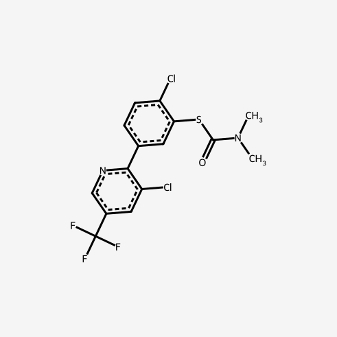 CN(C)C(=O)Sc1cc(-c2ncc(C(F)(F)F)cc2Cl)ccc1Cl